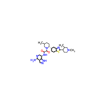 CC1CN(C)CCC1c1nc2cc([C@H]3CC[C@H](C)CN3C(=O)C(=O)Nc3cnc(N)c4cn[nH]c34)ccc2s1